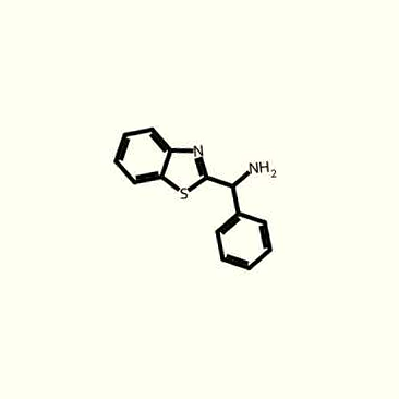 NC(c1ccccc1)c1nc2ccccc2s1